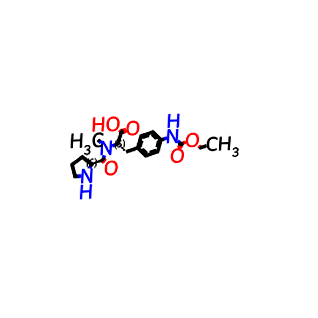 CCOC(=O)Nc1ccc(C[C@@H](C(=O)O)N(C)C(=O)[C@@H]2CCCN2)cc1